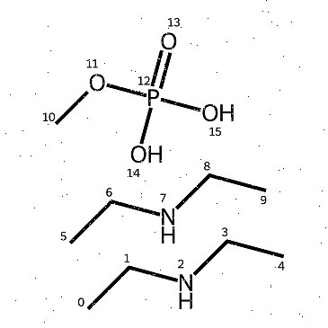 CCNCC.CCNCC.COP(=O)(O)O